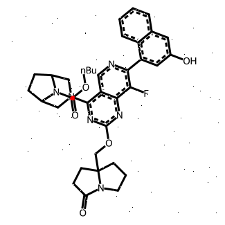 CCCCOC(=O)N1C2CCC1CN(c1nc(OCC34CCCN3C(=O)CC4)nc3c(F)c(-c4cc(O)cc5ccccc45)ncc13)C2